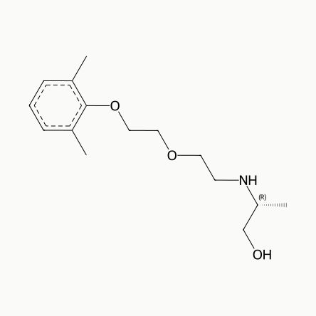 Cc1cccc(C)c1OCCOCCN[C@H](C)CO